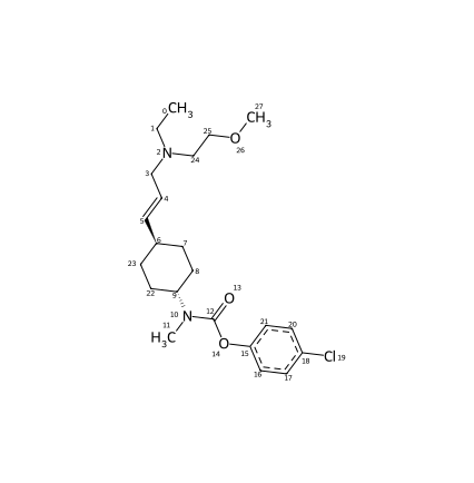 CCN(CC=C[C@H]1CC[C@H](N(C)C(=O)Oc2ccc(Cl)cc2)CC1)CCOC